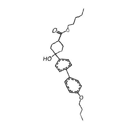 CCCCCOC(=O)C1CCC(O)(c2ccc(-c3ccc(OCCCC)cc3)cc2)CC1